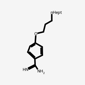 CCCCCCCCCCOc1ccc(C(=N)N)cc1